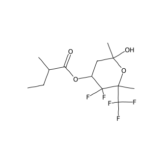 CCC(C)C(=O)OC1CC(C)(O)OC(C)(C(F)(F)F)C1(F)F